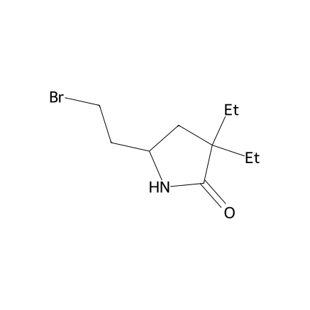 CCC1(CC)CC(CCBr)NC1=O